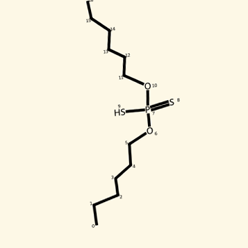 CCCCCCOP(=S)(S)OCCCCCC